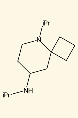 CC(C)NC1CCN(C(C)C)C2(CCC2)C1